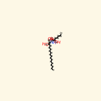 CCCCCCCCCCCCCCC[C@@H](O)[C@H](CO)NC(=O)[C@H](O)CCCCC